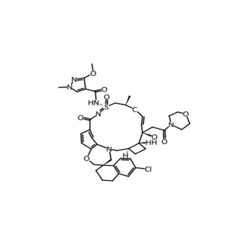 COc1nn(C)cc1C(=O)N[S@@]1(=O)=NC(=O)c2ccc3c(c2)N(C[C@@H]2CC[C@H]2[C@@](O)(CC(=O)N2CCOCC2)/C=C/C[C@H](C)C1)C[C@@]1(CCCc2cc(Cl)ccc21)CO3